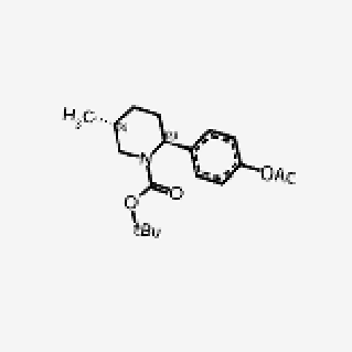 CC(=O)Oc1ccc([C@@H]2CC[C@@H](C)CN2C(=O)OC(C)(C)C)cc1